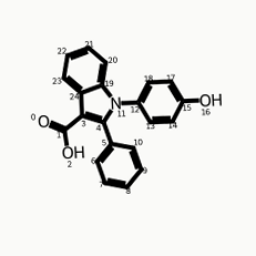 O=C(O)c1c(-c2ccccc2)n(-c2ccc(O)cc2)c2ccccc12